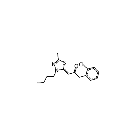 CCCCN1N=C(C)S/C1=C\C(=O)Cc1ccccc1Cl